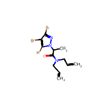 C=CCN(CC=C)C(=O)C(C)n1nc(Br)c(Br)c1Br